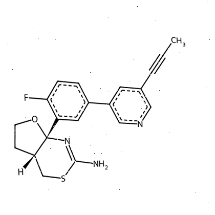 CC#Cc1cncc(-c2ccc(F)c([C@@]34N=C(N)SC[C@@H]3CCO4)c2)c1